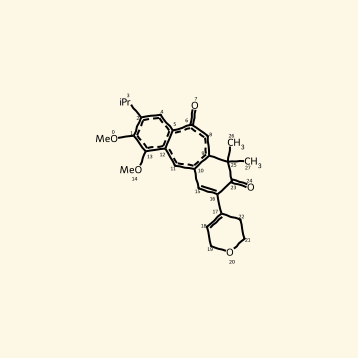 COc1c(C(C)C)cc2c(=O)cc3c(cc2c1OC)C=C(C1=CCOCC1)C(=O)C3(C)C